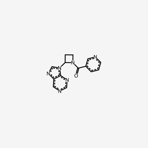 O=C(c1cccnc1)N1CCC1n1cnc2cncnc21